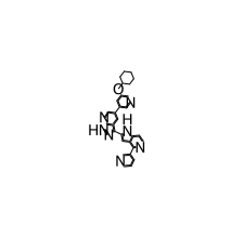 c1cncc(-c2nccc3[nH]c(-c4n[nH]c5ncc(-c6cncc(OC7CCCCC7)c6)cc45)cc23)c1